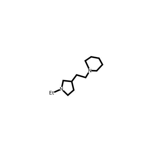 CCN1CCC(CCN2CCCCC2)C1